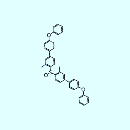 Cc1cc(-c2ccc(Oc3ccccc3)cc2)ccc1[S+]([O-])c1ccc(-c2ccc(Oc3ccccc3)cc2)cc1C